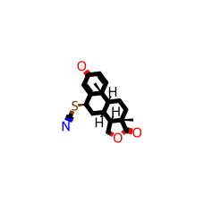 C[C@]12C=CC(=O)C=C1[C@H](SC#N)C[C@@H]1[C@@H]2CC[C@]2(C)C(=O)OC[C@@H]12